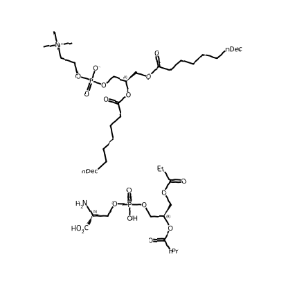 CCCC(=O)O[C@H](COC(=O)CC)COP(=O)(O)OC[C@H](N)C(=O)O.CCCCCCCCCCCCCCCC(=O)OC[C@H](COP(=O)([O-])OCC[N+](C)(C)C)OC(=O)CCCCCCCCCCCCCCC